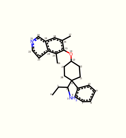 CCC(N)C1(c2ccccc2)CCC(Oc2c(C)cc3cnccc3c2C)CC1